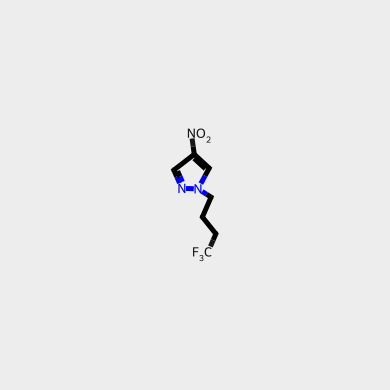 O=[N+]([O-])c1cnn(CCCC(F)(F)F)c1